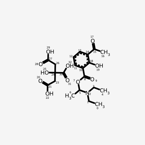 CCN(CC)C(C)OC(=O)c1cccc(C(C)=O)c1O.O=C(O)CC(O)(CC(=O)O)C(=O)O